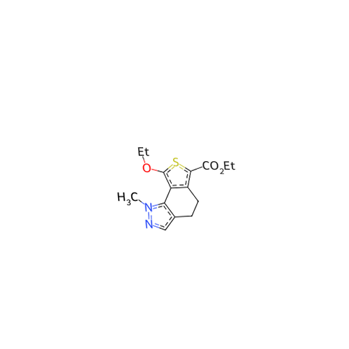 CCOC(=O)c1sc(OCC)c2c1CCc1cnn(C)c1-2